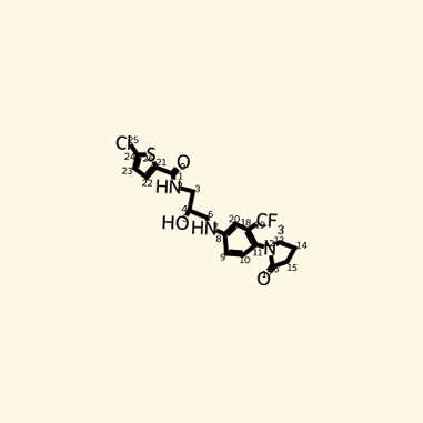 O=C(NCC(O)CNc1ccc(N2CCCC2=O)c(C(F)(F)F)c1)c1ccc(Cl)s1